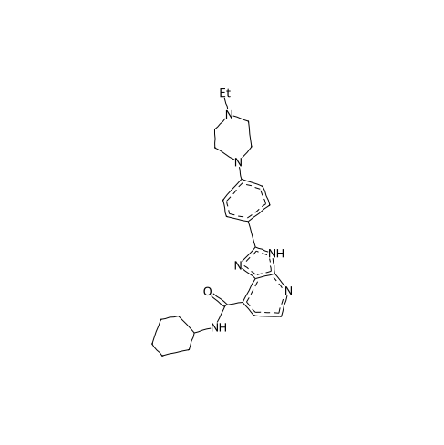 CCN1CCN(c2ccc(-c3nc4c(C(=O)NC5CCCCC5)ccnc4[nH]3)cc2)CC1